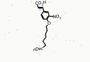 CCCCCCCCCCCCCCCCOc1ccc(/C=C/C(=O)O)cc1[N+](=O)[O-]